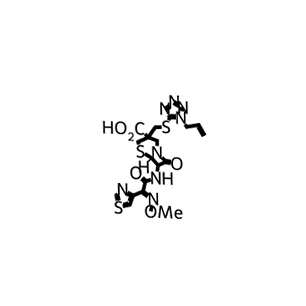 C=CCn1nnnc1SCC1(C(=O)O)CS[C@@H]2C(NC(=O)C(=NOC)c3cscn3)C(=O)N2C1